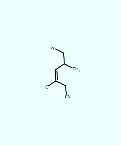 CC(=CC(C)CC(C)C)CC#N